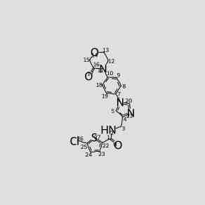 O=C(NCc1cn(-c2ccc(N3CCOCC3=O)cc2)cn1)c1ccc(Cl)s1